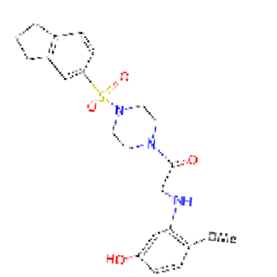 COc1ccc(O)cc1NCC(=O)N1CCN(S(=O)(=O)c2ccc3c(c2)CCC3)CC1